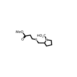 COC(=O)CCSCC1CCCN1C(=O)O